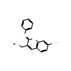 CCOCc1cc2ccc(OC)cc2oc1=Nc1ccccc1